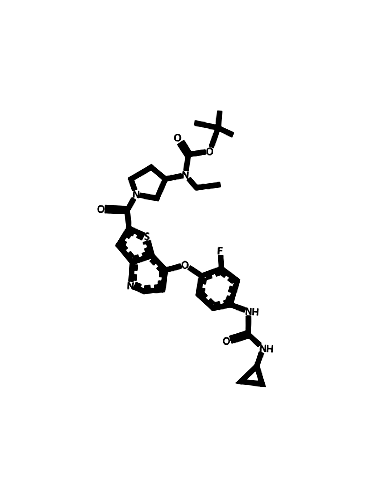 CCN(C(=O)OC(C)(C)C)C1CCN(C(=O)c2cc3nccc(Oc4ccc(NC(=O)NC5CC5)cc4F)c3s2)C1